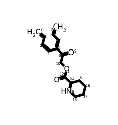 C=C/C=C\C(=C/C=C)C(=O)COC(=O)C1CCCCN1